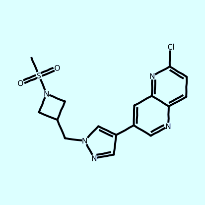 CS(=O)(=O)N1CC(Cn2cc(-c3cnc4ccc(Cl)nc4c3)cn2)C1